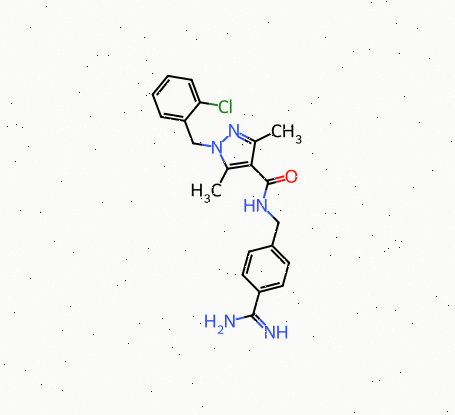 Cc1nn(Cc2ccccc2Cl)c(C)c1C(=O)NCc1ccc(C(=N)N)cc1